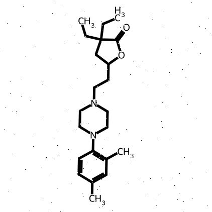 CCC1(CC)CC(CCN2CCN(c3ccc(C)cc3C)CC2)OC1=O